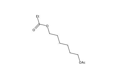 CCC(=O)OCC[CH]CCCOC(C)=O